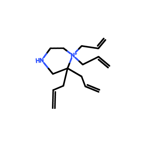 C=CCC1(CC=C)CNCC[N+]1(CC=C)CC=C